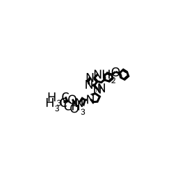 CC(C)(C)OC(=O)N1CC(N2CCC[C@@H](n3nc(-c4ccc(Oc5ccccc5)cc4)c4c(N)ncnc43)C2)C1